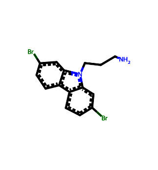 NCCCn1c2cc(Br)ccc2c2ccc(Br)cc21